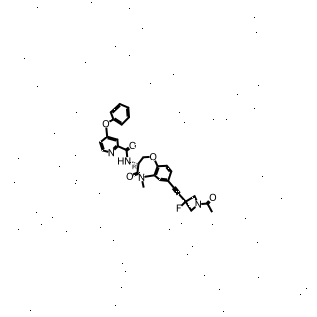 CC(=O)N1CC(F)(C#Cc2ccc3c(c2)N(C)C(=O)[C@H](NC(=O)c2cc(Oc4ccccc4)ccn2)CO3)C1